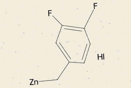 Fc1ccc([CH2][Zn])cc1F.I